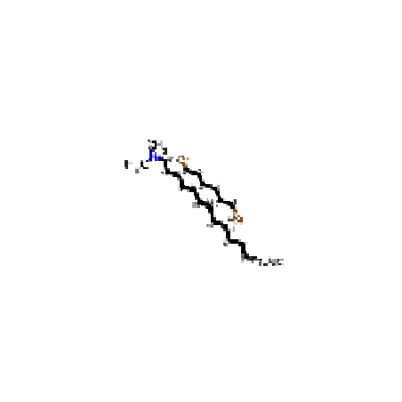 BrCCCCCCBr.CCCCCCCCCCCCCCCCCCCCCCN(C)C